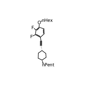 CCCCCCOc1ccc(C#C[C@H]2CC[C@H](CCCCC)CC2)c(F)c1F